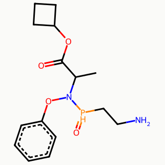 CC(C(=O)OC1CCC1)N(Oc1ccccc1)[PH](=O)CCN